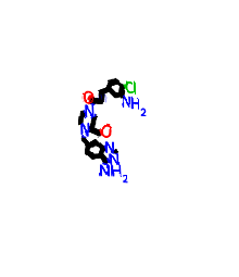 Nc1cc(/C=C/C(=O)N2CCN(Cc3ccc4c(N)ncnc4c3)C(C=O)C2)ccc1Cl